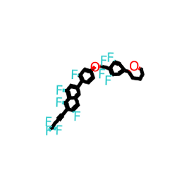 Fc1cc(OC(F)(F)c2c(F)cc(C3CCCCO3)cc2F)ccc1-c1cc(F)c2c(F)c(C#CC(F)(F)F)c(F)cc2c1